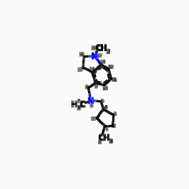 CC1CCC(CN(C)Cc2cccc3c2CCN3C)C1